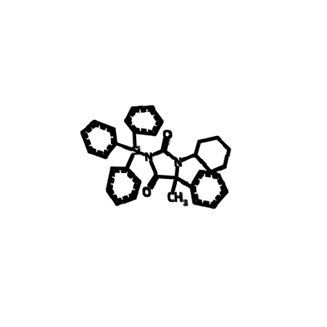 CC1(c2ccccc2)C(=O)N([Si](c2ccccc2)(c2ccccc2)c2ccccc2)C(=O)N1C1CCCCC1